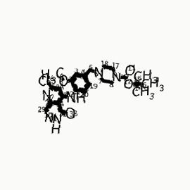 COc1cc(CN2CCN(C(=O)OC(C)(C)C)CC2)ccc1Nc1cc(Cl)nc2cn[nH]c(=O)c12